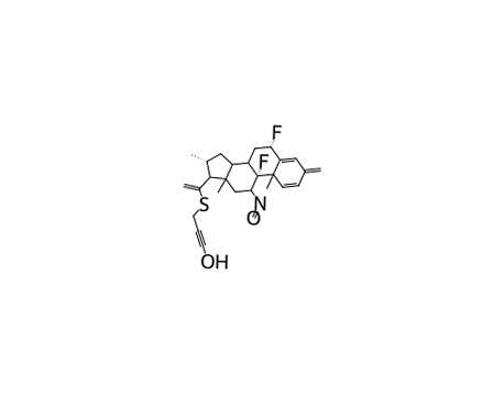 C=C1C=CC2(C)C(=C1)[C@@H](F)CC1C3C[C@@H](C)C(C(=C)SCC#CO)C3(C)CC(N=O)[C@@]12F